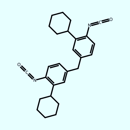 O=C=Nc1ccc(Cc2ccc(N=C=O)c(C3CCCCC3)c2)cc1C1CCCCC1